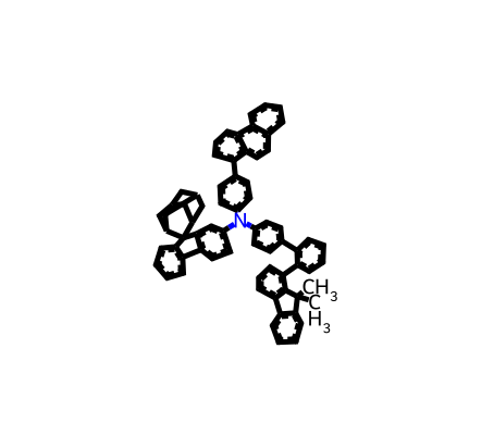 CC1(C)c2ccccc2-c2cccc(-c3ccccc3-c3ccc(N(c4ccc(-c5cccc6c5ccc5ccccc56)cc4)c4ccc5c(c4)C4(c6ccccc6-5)C5CC6CC(C5)CC4C6)cc3)c21